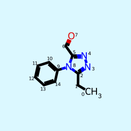 CCc1nnc(C=O)n1-c1ccccc1